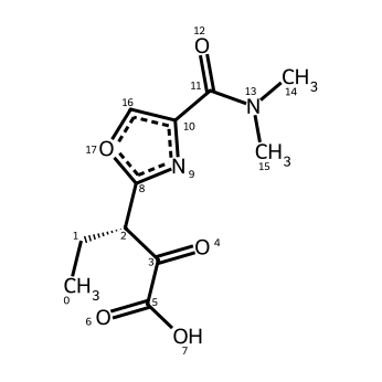 CC[C@@H](C(=O)C(=O)O)c1nc(C(=O)N(C)C)co1